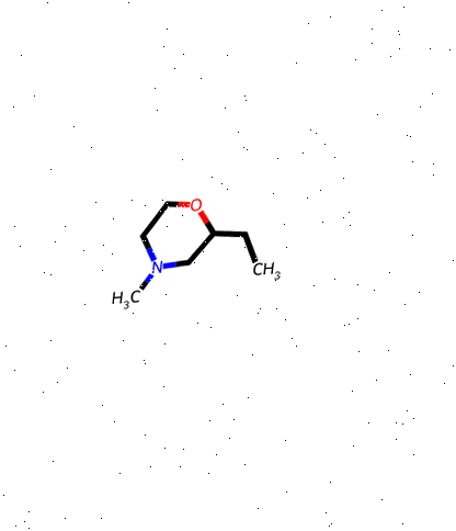 CCC1CN(C)CCO1